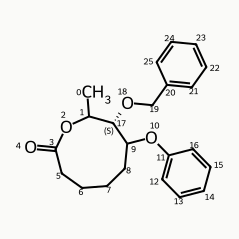 CC1OC(=O)CCCCC(Oc2ccccc2)[C@H]1OCc1ccccc1